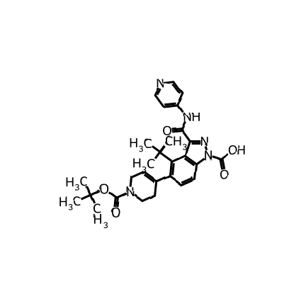 CC(C)(C)OC(=O)N1CC=C(c2ccc3c(c(C(=O)Nc4ccncc4)nn3C(=O)O)c2C(C)(C)C)CC1